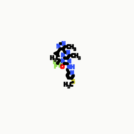 CSc1ccc(CNc2nc3c(C)nc(-c4c(C)ncnc4C4CC4)nc3n(C(C)C(F)(F)F)c2=O)nc1